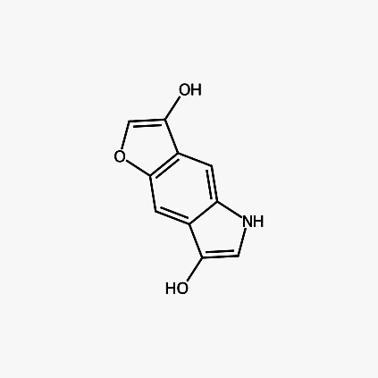 Oc1c[nH]c2cc3c(O)coc3cc12